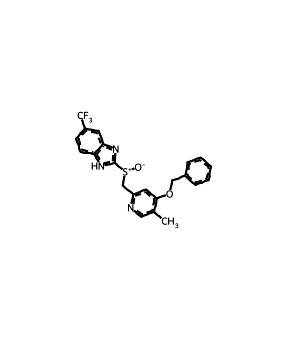 Cc1cnc(C[S+]([O-])c2nc3cc(C(F)(F)F)ccc3[nH]2)cc1OCc1ccccc1